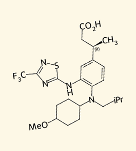 COC1CCC(N(CC(C)C)c2ccc([C@H](C)CC(=O)O)cc2Nc2nc(C(F)(F)F)ns2)CC1